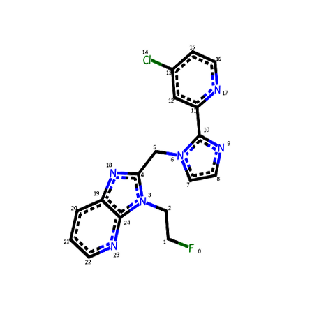 FCCn1c(Cn2ccnc2-c2cc(Cl)ccn2)nc2cccnc21